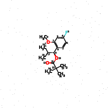 COc1cc(F)ccc1[C@@H](OC(=O)C(C)(C)C)C(C)C